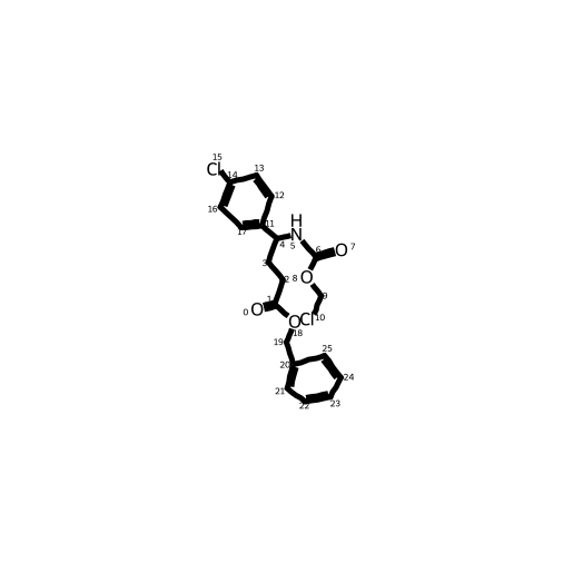 O=C(CCC(NC(=O)OCCl)c1ccc(Cl)cc1)OCc1ccccc1